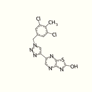 Cc1c(Cl)cc(Cn2cc(-c3cnc4nc(O)sc4n3)nn2)cc1Cl